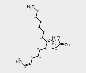 CC(=O)O.CCCCCCCC(C)CCCC/C=C\O